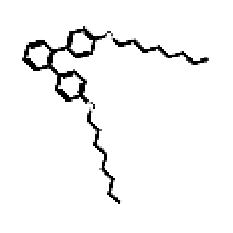 CCCCCCCCOc1ccc(-c2[c]cccc2-c2ccc(OCCCCCCCC)cc2)cc1